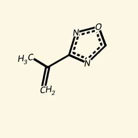 C=C(C)c1ncon1